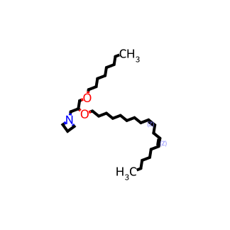 CCCCC/C=C\C/C=C\CCCCCCCCOC(COCCCCCCCC)CN1CCC1